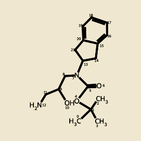 CC(C)(C)OC(=O)N(CC(O)CN)C1Cc2ccccc2C1